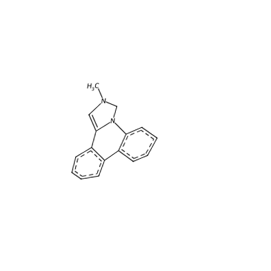 CN1C=C2c3ccccc3-c3ccccc3N2C1